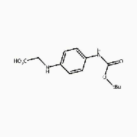 CC(C)(C)OC(=O)Nc1ccc(NCC(=O)O)cc1